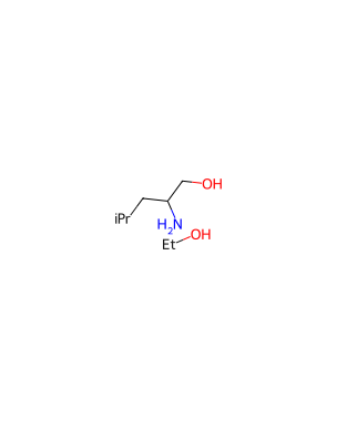 CC(C)CC(N)CO.CCO